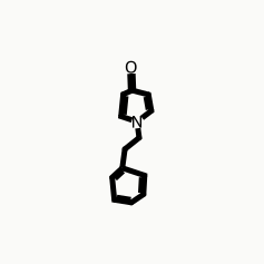 O=c1ccn(CCc2ccccc2)cc1